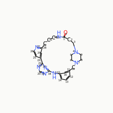 O=C1CCN2CCN(CC2)Cc2cccc(c2)Nc2ncnc(n2)-c2ccnc(c2)CCCN1